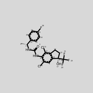 C[C@@H](NC(=O)Nc1c(Cl)cc2c(c1Cl)CC[C@@]2(O)C(F)(F)F)c1ccc(F)cc1